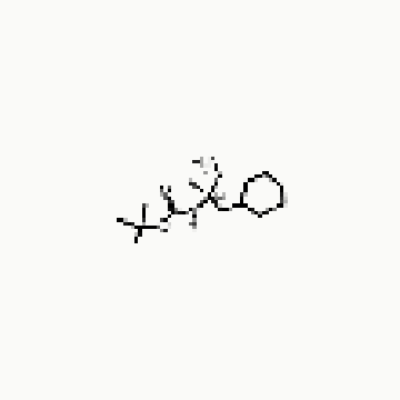 CC(C)(C)OC(=O)N[C@](C)(CN)CC1CCCCC1